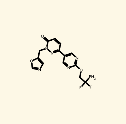 O=c1ccc(-c2cnc(OCC(F)(F)P)nc2)nn1Cc1cnco1